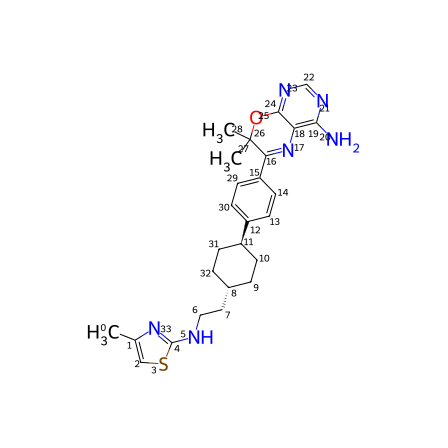 Cc1csc(NCC[C@H]2CC[C@H](c3ccc(C4=Nc5c(N)ncnc5OC4(C)C)cc3)CC2)n1